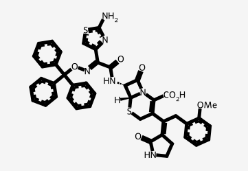 COc1ccccc1CC(=C1CCNC1=O)C1=C(C(=O)O)N2C(=O)[C@@H](NC(=O)C(=NOC(c3ccccc3)(c3ccccc3)c3ccccc3)c3csc(N)n3)[C@H]2SC1